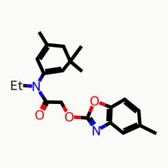 CCN(C(=O)COc1nc2cc(C)ccc2o1)C1=CC(C)(C)CC(C)=C1